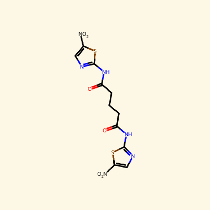 O=C(CCCC(=O)Nc1ncc([N+](=O)[O-])s1)Nc1ncc([N+](=O)[O-])s1